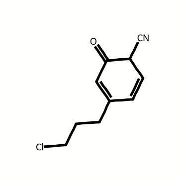 N#CC1C=CC(CCCCl)=CC1=O